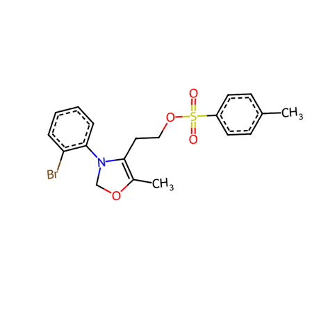 CC1=C(CCOS(=O)(=O)c2ccc(C)cc2)N(c2ccccc2Br)CO1